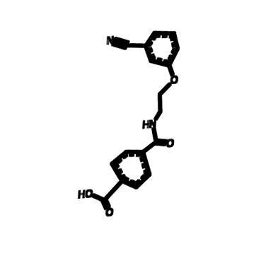 N#Cc1cccc(OCCNC(=O)c2ccc(C(=O)O)cc2)c1